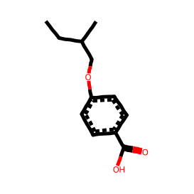 CCC(C)COc1ccc(C(=O)O)cc1